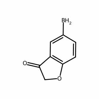 Bc1ccc2c(c1)C(=O)CO2